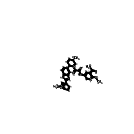 COc1ncc(NC(=O)C(=O)N2C[C@@H](C)CC[C@@H]2c2ccc3sc(C45CCC(C4)N(C)C5)nc3c2)cc1C(N)=O